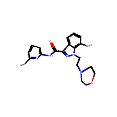 CCCc1cccc(NC(=O)c2nn(CCN3CCOCC3)c3c(OC)cccc23)n1